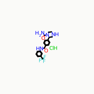 Cl.NC(=O)N1CCNCC1c1ccc(C(=O)Nc2cccc(C(F)(F)F)c2)cc1